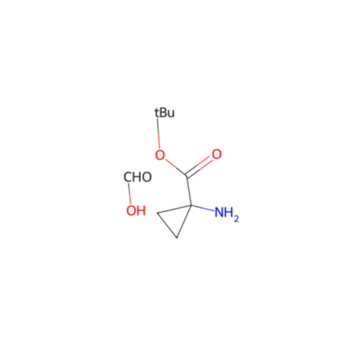 CC(C)(C)OC(=O)C1(N)CC1.O=CO